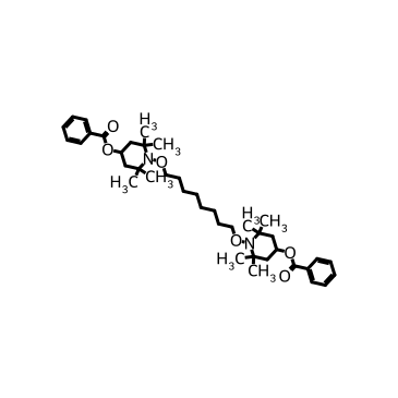 CC1(C)CC(OC(=O)c2ccccc2)CC(C)(C)N1OCCCCCCCCON1C(C)(C)CC(OC(=O)c2ccccc2)CC1(C)C